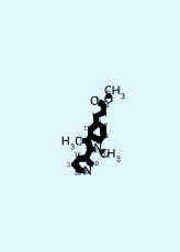 COC(=O)CCc1ccc2c(c1)c(C)c(-c1cccnc1)n2C